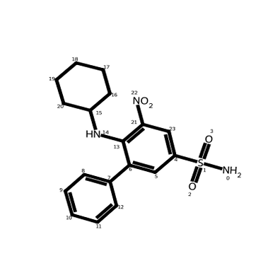 NS(=O)(=O)c1cc(-c2ccccc2)c(NC2CCCCC2)c([N+](=O)[O-])c1